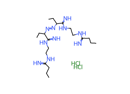 CCCC(=N)NCCNC(=N)C(CC)N=NC(CC)C(=N)NCCNC(=N)CCC.Cl.Cl